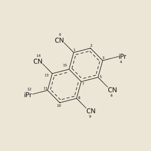 [C-]#[N+]c1cc(C(C)C)c(C#N)c2c(C#N)cc(C(C)C)c([N+]#[C-])c12